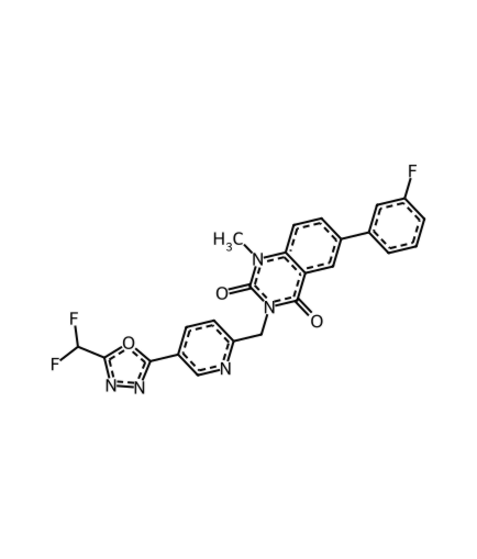 Cn1c(=O)n(Cc2ccc(-c3nnc(C(F)F)o3)cn2)c(=O)c2cc(-c3cccc(F)c3)ccc21